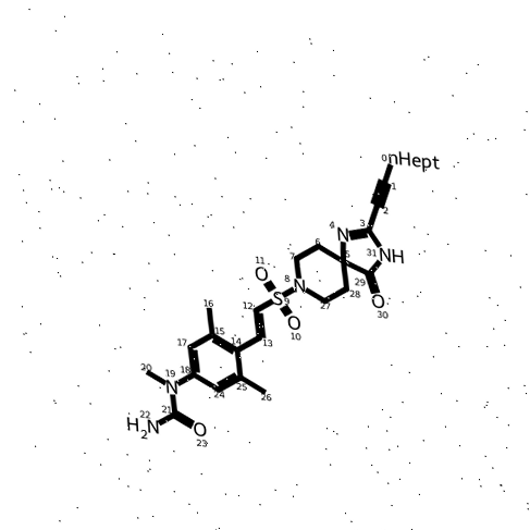 CCCCCCCC#CC1=NC2(CCN(S(=O)(=O)C=Cc3c(C)cc(N(C)C(N)=O)cc3C)CC2)C(=O)N1